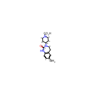 Bc1ccc2c(c1)CCN(C1CCN(C(=O)O)CC1)C(=O)N2